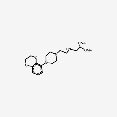 COC(CNCCN1CCN(c2cccc3c2OCCO3)CC1)OC